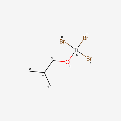 CC(C)C[O][Ti]([Br])([Br])[Br]